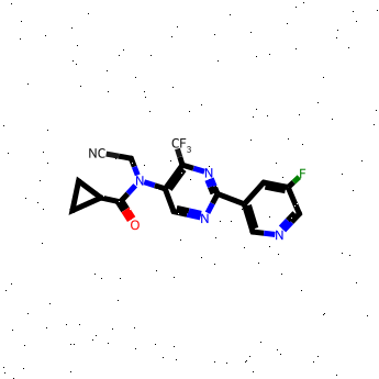 N#CCN(C(=O)C1CC1)c1cnc(-c2cncc(F)c2)nc1C(F)(F)F